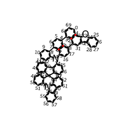 c1ccc(-c2ccc(-c3ccccc3N(c3ccc(-c4ccc5oc6ccccc6c5c4)cc3)c3cccc4c3-c3ccccc3C43c4ccccc4-n4c5ccccc5c5cccc3c54)cc2)cc1